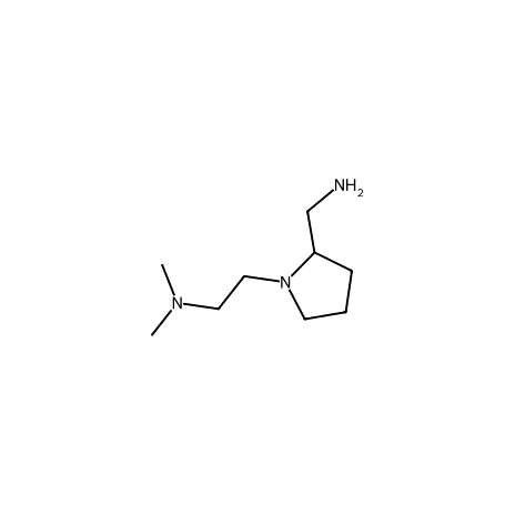 CN(C)CCN1CCCC1CN